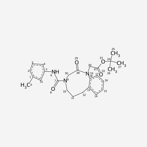 Cc1cccc(NC(=O)N2CCCc3ccccc3N(CC(=O)OC(C)(C)C)C(=O)C2)c1